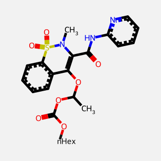 CCCCCCOC(=O)OC(C)OC1=C(C(=O)Nc2ccccn2)N(C)S(=O)(=O)c2ccccc21